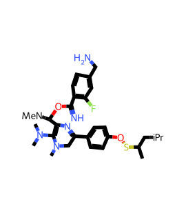 CNC(OC(=N)c1ccc(CN)cc1F)C1=C(N(C)C)N(C)CC(c2ccc(OSC(C)CC(C)C)cc2)=N1